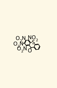 O=c1c2ccccc2sc2c([N+](=O)[O-])c([N+](=O)[O-])c([N+](=O)[O-])c([N+](=O)[O-])c12